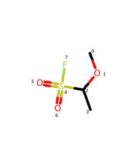 COC(C)S(=O)(=O)F